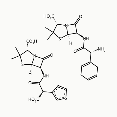 CC1(C)S[C@@H]2[C@H](NC(=O)[C@H](C(=O)O)c3ccsc3)C(=O)N2[C@H]1C(=O)O.CC1(C)S[C@@H]2[C@H](NC(=O)[C@H](N)C3=CCC=CC3)C(=O)N2[C@H]1C(=O)O